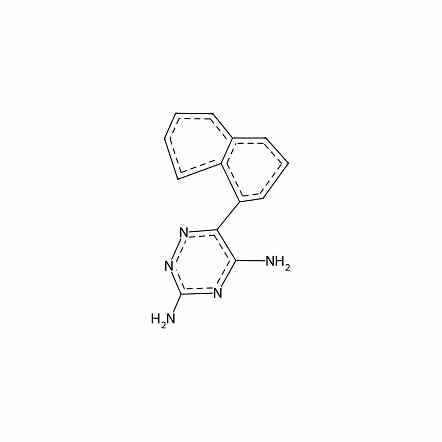 Nc1nnc(-c2cccc3ccccc23)c(N)n1